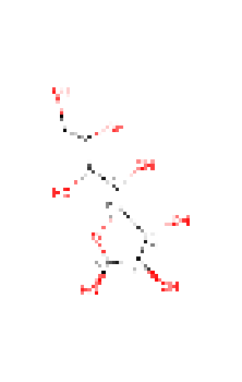 OCC(O)C(O)[C@H](O)[C@H]1O[C@H](O)[C@H](O)[C@H]1O